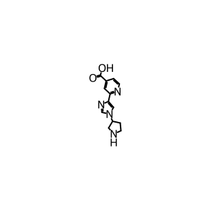 O=C(O)c1ccnc(-c2cn(C3CCNC3)cn2)c1